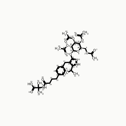 CC(=O)OC[C@H]1O[C@@H](Oc2n[nH]c(C(C)C)c2Cc2ccc(CCCC(=O)NC(C)(C)C(=O)O)cc2)[C@H](OC(C)=O)[C@@H](OC(C)=O)[C@H]1OC(C)=O